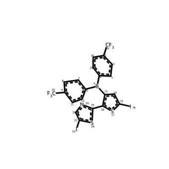 FC(F)(F)c1ccc(B(c2ccc(C(F)(F)F)cc2)c2cc(I)sc2-c2ncc(I)s2)cc1